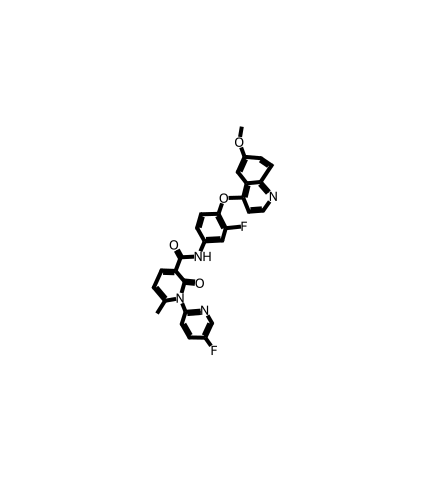 COc1ccc2nccc(Oc3ccc(NC(=O)c4ccc(C)n(-c5ccc(F)cn5)c4=O)cc3F)c2c1